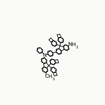 Cc1ccc2c(c1)C(c1ccc3c(c1)CC3)(c1ccc3c(c1)CC3)c1cc(N(c3ccccc3)c3ccc(-c4ccc5c(c4)C(c4ccc6c(c4)CC6)(c4ccc6c(c4)CC6)c4cc(N)ccc4-5)cc3)ccc1-2